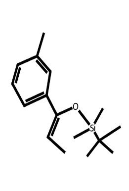 CC=C(O[Si](C)(C)C(C)(C)C)c1cccc(C)c1